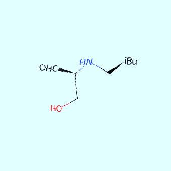 CC[C@H](C)CN[C@H](C=O)CO